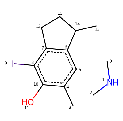 CNC.Cc1cc2c(c(I)c1O)CCC2C